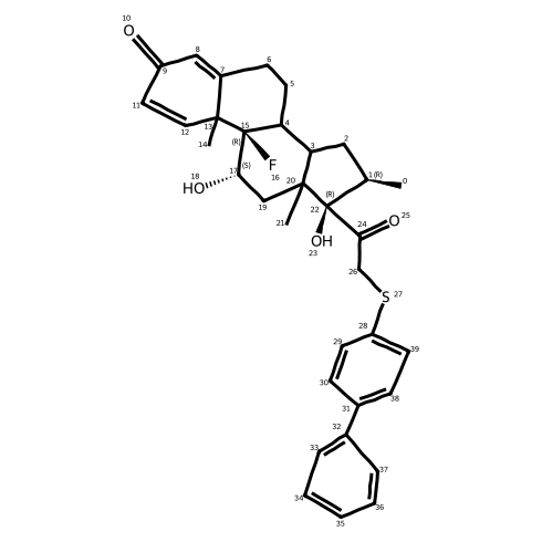 C[C@@H]1CC2C3CCC4=CC(=O)C=CC4(C)[C@@]3(F)[C@@H](O)CC2(C)[C@@]1(O)C(=O)CSc1ccc(-c2ccccc2)cc1